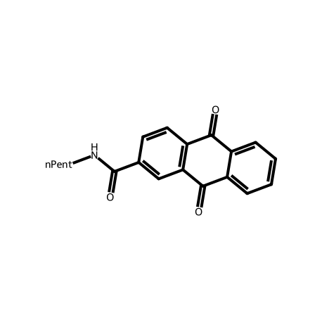 [CH2]CCCCNC(=O)c1ccc2c(c1)C(=O)c1ccccc1C2=O